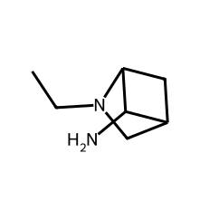 CCN1CC2CC1C2N